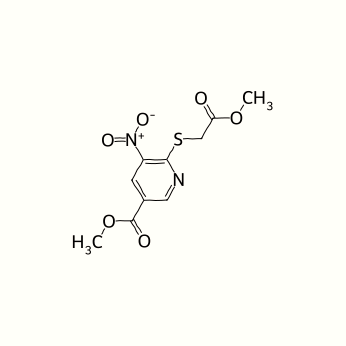 COC(=O)CSc1ncc(C(=O)OC)cc1[N+](=O)[O-]